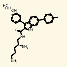 Cl.Cl.Cl.NCCC[C@H](N)CNC(=O)c1[nH]c2cc(-c3ccc(F)cc3)ccc2c1-c1ccncc1